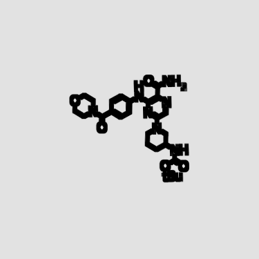 CC(C)(C)OC(=O)NC1CCCN(c2cnc(C(N)=O)c(Nc3ccc(C(=O)N4CCOCC4)cc3)n2)C1